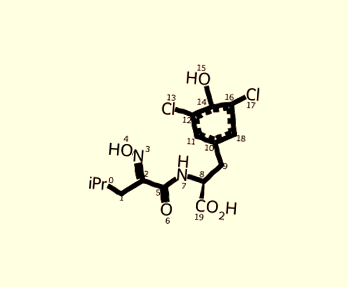 CC(C)CC(=NO)C(=O)N[C@@H](Cc1cc(Cl)c(O)c(Cl)c1)C(=O)O